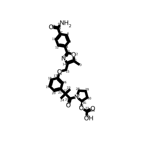 Cc1oc(-c2ccc(C(N)=O)cc2)nc1COc1cccc(C(C)(C)C(=O)N2CCC[C@H]2OC(=O)O)c1